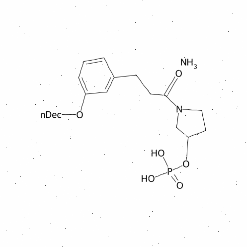 CCCCCCCCCCOc1cccc(CCC(=O)N2CCC(OP(=O)(O)O)C2)c1.N